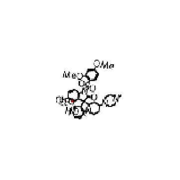 CCOc1ncccc1C1(C2CC(N3CCN(C)CC3)CCN2C(=O)O)C(=O)N(S(=O)(=O)c2ccc(OC)cc2OC)c2ccc(Cl)cc21